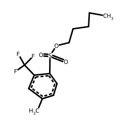 CCCCCOS(=O)(=O)c1ccc(C)cc1C(F)(F)F